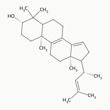 CC(C)=C[C@@H](C)C1CC=C2C3=C(CC[C@@]21C)[C@@]1(C)CC[C@H](O)C(C)(C)C1CC3